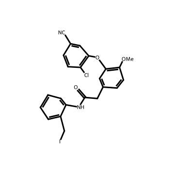 COc1ccc(CC(=O)Nc2ccccc2CI)cc1Oc1cc(C#N)ccc1Cl